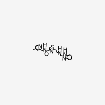 Cc1ccnc(CNC(=O)c2csc(CCNCc3nc4ccccc4[nH]3)n2)c1